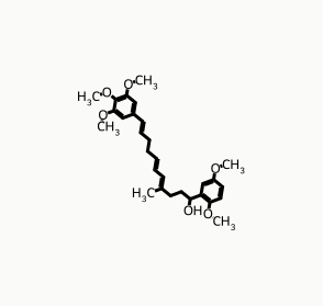 COc1ccc(OC)c(C(O)CCC(C)=CC=CCCC=Cc2cc(OC)c(OC)c(OC)c2)c1